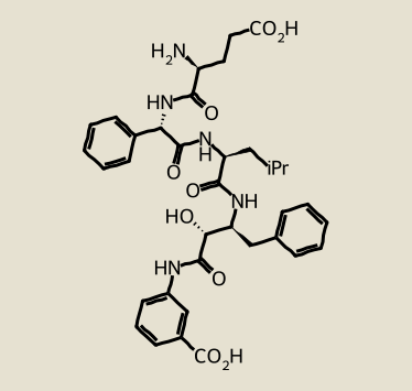 CC(C)C[C@H](NC(=O)[C@@H](NC(=O)[C@@H](N)CCC(=O)O)c1ccccc1)C(=O)N[C@@H](Cc1ccccc1)[C@@H](O)C(=O)Nc1cccc(C(=O)O)c1